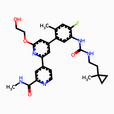 CNC(=O)c1cc(-c2cc(-c3cc(NC(=O)NCCC4(C)CC4)c(F)cc3C)cc(OCCO)n2)ccn1